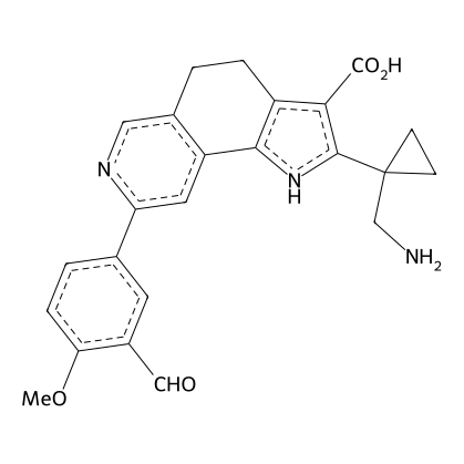 COc1ccc(-c2cc3c(cn2)CCc2c-3[nH]c(C3(CN)CC3)c2C(=O)O)cc1C=O